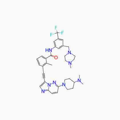 Cc1c(C#Cc2cnc3ccc(N4CCC(N(C)C)CC4)nn23)cccc1C(=O)Nc1cc(CN2CCN(C)CC2)cc(C(F)(F)F)c1